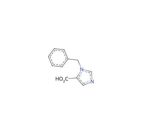 O=C(O)c1cncn1Cc1ccccc1